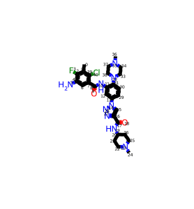 Cc1c(F)c(N)cc(C(=O)Nc2cc(-n3cc(C(=O)NC4CCN(C)CC4)nn3)ccc2N2CCN(C)CC2)c1Cl